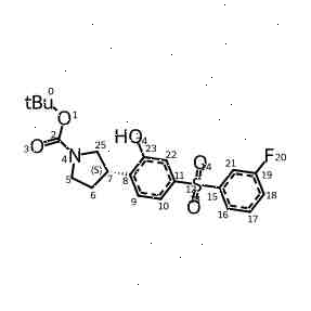 CC(C)(C)OC(=O)N1CC[C@@H](c2ccc(S(=O)(=O)c3cccc(F)c3)cc2O)C1